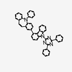 C1=Cc2cc(-c3cccc4c3c3ccccc3n4-c3nc(-c4ccccc4)nc(-c4ccccc4)n3)ccc2N(c2ccccc2)c2ccccc21